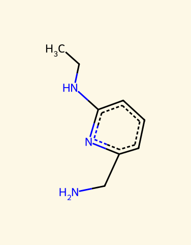 CCNc1cccc(CN)n1